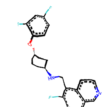 Fc1ccc(O[C@H]2C[C@H](NCc3c(F)ccc4cnccc34)C2)c(F)c1